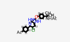 CC(=O)NC(C)(C)c1ccc(OC2NC3=CC(Cl)C(c4ccc(C(C)=O)cc4)N=C3N2)cc1